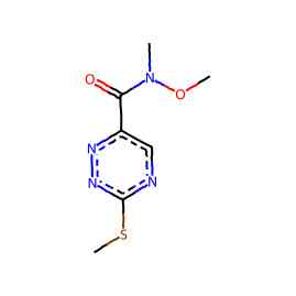 CON(C)C(=O)c1cnc(SC)nn1